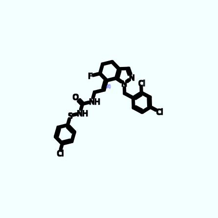 O=C(NC/C=C1/c2c(cnn2Cc2ccc(Cl)cc2Cl)CCC1F)NSc1ccc(Cl)cc1